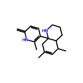 C=C1C=CC(C23CC(C)=CC(C)C2CCCN3)=C(C)N1